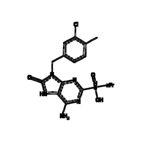 CCC[SH](=O)(O)c1nc(N)c2[nH]c(=O)n(Cc3ccc(C)c(Cl)c3)c2n1